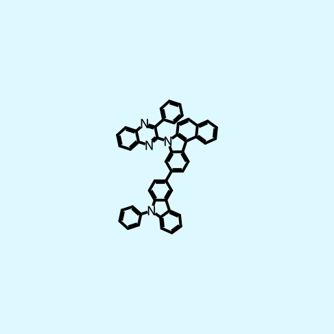 c1ccc(-c2nc3ccccc3nc2-n2c3cc(-c4ccc5c(c4)c4ccccc4n5-c4ccccc4)ccc3c3c4ccccc4ccc32)cc1